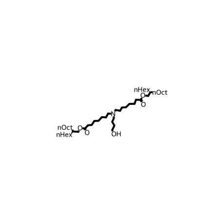 CCCCCCCCC(CCCCCC)COC(=O)CCCCCCCN(CCCCO)CCCCCCCC(=O)OC[C@@H](CCCCCC)CCCCCCCC